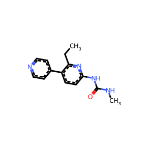 CCc1nc(NC(=O)NC)ccc1-c1ccncc1